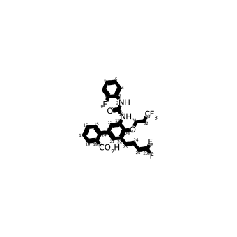 O=C(Nc1ccccc1F)Nc1cc(-c2ccccc2C(=O)O)cc(/C=C/C=C(F)F)c1OCCC(F)(F)F